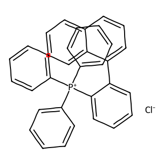 [Cl-].c1ccc([P+](c2ccccc2)(c2ccccc2)c2ccccc2-c2cccc3ccccc23)cc1